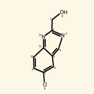 OCc1ncc2cc(Cl)ccc2n1